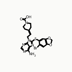 Nc1ncnc2c1nc(Sc1cc3c(cc1Br)OCO3)n2CC=C1CCN(C(=O)O)CC1